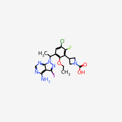 CCOc1c(C(C)n2nc(I)c3c(N)ncnc32)cc(Cl)c(F)c1C1CN(C(=O)O)C1